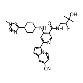 Cn1cc(C2CCC(Nc3cc(-c4ccc5cc(C#N)cnn45)ncc3C(=O)NCC(F)C(C)(C)O)CC2)nn1